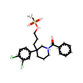 CS(=O)(=O)OCCCC1(c2ccc(Cl)c(Cl)c2)CCCN(C(=O)c2ccccc2)C1